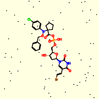 O=C(OP(=O)(O)OC[C@H]1O[C@@H](n2cc(/C=C/Br)c(=O)[nH]c2=O)C[C@@H]1O)C1(N(OCc2ccccc2)c2ccc(Cl)cc2)CCCC1